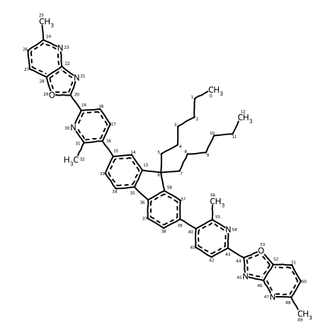 CCCCCCC1(CCCCCC)c2cc(-c3ccc(-c4nc5nc(C)ccc5o4)nc3C)ccc2-c2ccc(-c3ccc(-c4nc5nc(C)ccc5o4)nc3C)cc21